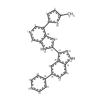 Cc1ccc(-c2cncc3[nH]c(-c4n[nH]c5cnc(-c6ccncc6)cc45)nc23)s1